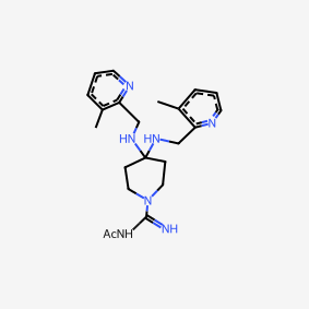 CC(=O)NC(=N)N1CCC(NCc2ncccc2C)(NCc2ncccc2C)CC1